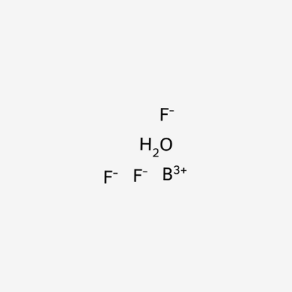 O.[B+3].[F-].[F-].[F-]